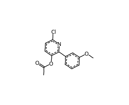 COc1cccc(-c2nc(Cl)ccc2OC(C)=O)c1